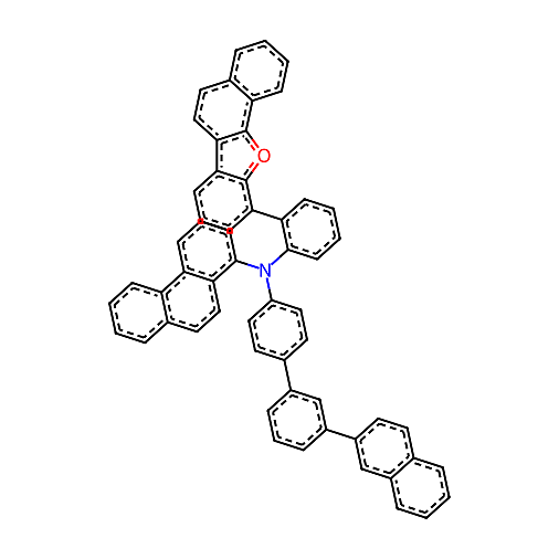 c1cc(-c2ccc(N(c3ccccc3-c3cccc4c3oc3c5ccccc5ccc43)c3cccc4c3ccc3ccccc34)cc2)cc(-c2ccc3ccccc3c2)c1